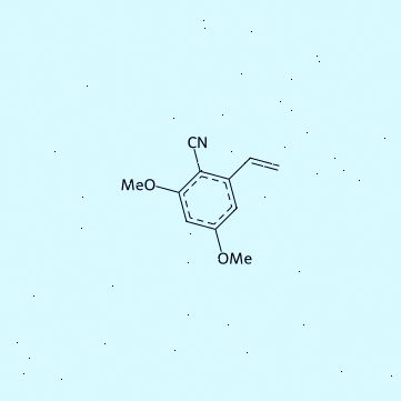 C=Cc1cc(OC)cc(OC)c1C#N